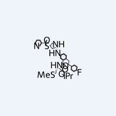 CSCC[C@H](NC(=O)c1cc(NC[C@@H]2C[C@H](SC(=O)c3cccnc3)CN2)ccc1CCc1ccc(F)cc1)C(=O)OC(C)C